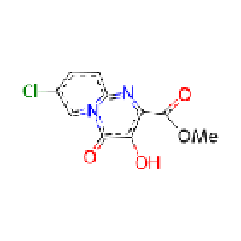 COC(=O)c1nc2ccc(Cl)cn2c(=O)c1O